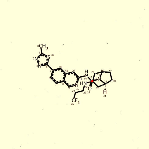 Cc1nnc(-c2ccc3cnc(NC(=O)N4C5CC[C@H]4C[C@@H](NCCC(F)(F)F)C5)cc3c2)s1